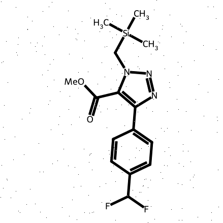 COC(=O)c1c(-c2ccc(C(F)F)cc2)nnn1C[Si](C)(C)C